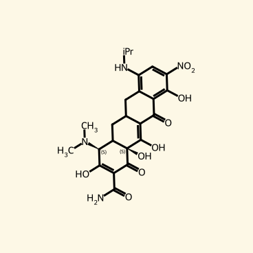 CC(C)Nc1cc([N+](=O)[O-])c(O)c2c1CC1CC3[C@H](N(C)C)C(O)=C(C(N)=O)C(=O)[C@@]3(O)C(O)=C1C2=O